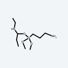 CCNC(CC)O[Si](CCCN)(OC)OC